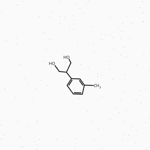 Cc1cccc(C(CO)CO)c1